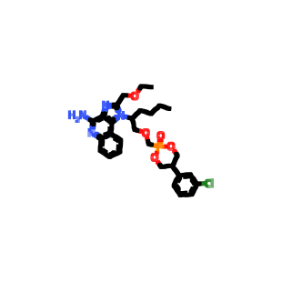 CCCCC(COCP1(=O)OCC(c2cccc(Cl)c2)CO1)n1c(COCC)nc2c(N)nc3ccccc3c21